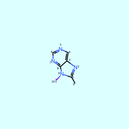 Cc1nc2cncnc2n1I